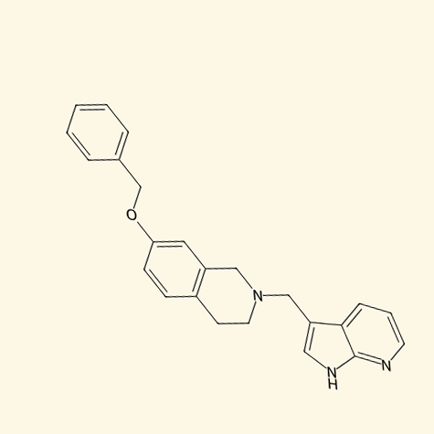 c1ccc(COc2ccc3c(c2)CN(Cc2c[nH]c4ncccc24)CC3)cc1